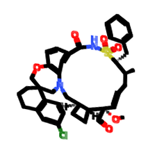 CO[C@@]1(C=O)/C=C/C[C@H](C)[C@@H](Cc2ccccc2)S(=O)(=O)NC(=O)c2ccc3c(c2)N(C[C@@H]2CC[C@H]21)CC1(CCCc2cc(Cl)ccc21)CO3